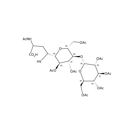 CC(=O)NC(CC(S)[C@@H]1O[C@H](COC(C)=O)[C@@H](O[C@H]2O[C@H](COC(C)=O)[C@@H](OC(C)=O)[C@H](OC(C)=O)[C@H]2OC(C)=O)[C@H](OC(C)=O)[C@H]1OC(C)=O)C(=O)O